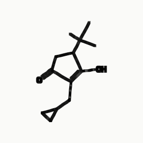 CC(C)(C)C1CC(=O)C(CC2CC2)=C1O